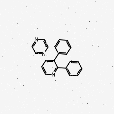 c1ccc(-c2cccnc2-c2ccccc2)cc1.c1cnccn1